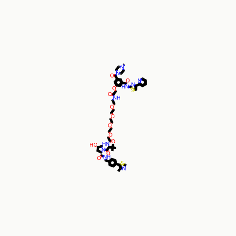 Cc1ncsc1-c1ccc(CNC(=O)[C@@H]2C[C@@H](O)CN2C(=O)[C@@H](NC(=O)COCCOCCOCCOCCNC(=O)COc2cc(C(=O)Nc3nc(-c4ccccn4)cs3)cc(C(=O)N3CCN(C)CC3)c2)C(C)(C)C)cc1